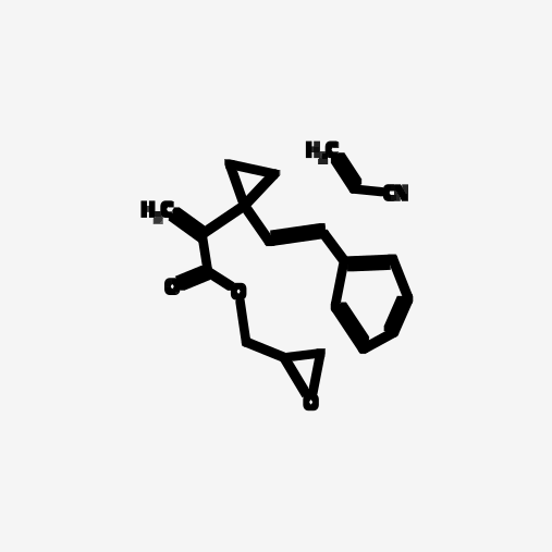 C=C(C(=O)OCC1CO1)C1(C=Cc2ccccc2)CC1.C=CC#N